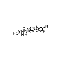 C[C@H]1c2sc(NC(=O)NCC(C)(C)O)nc2CCN1c1nc2cc(C#N)c(F)cc2o1